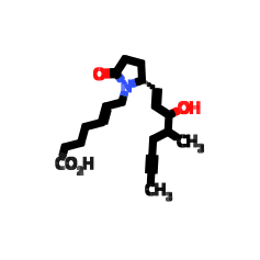 CC#CCC(C)C(O)/C=C/[C@H]1CCC(=O)N1CC=CCCCC(=O)O